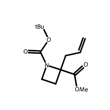 C=CCC1(C(=O)OC)CCN1C(=O)OC(C)(C)C